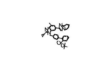 Cc1cc(-c2cn3ccccc3n2)cc2c1nc(C1CC1)n2Cc1ccc(-c2ccccc2C(=O)OC(C)(C)C)cc1